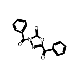 O=C(c1ccccc1)c1nn(C(=O)c2ccccc2)c(=O)o1